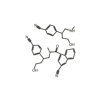 CN(CC(CCO)c1ccc(C#N)cc1)C(=O)c1cc(C#N)cc2ccccc12.CNCC(CCO)c1ccc(C#N)cc1